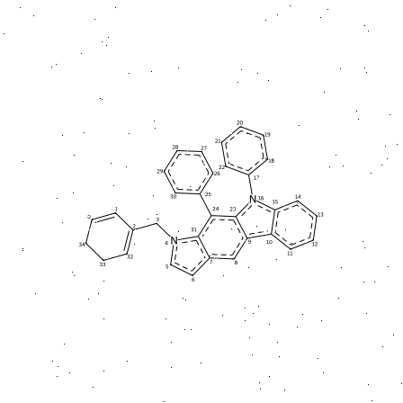 C1=CC(Cn2ccc3cc4c5ccccc5n(-c5ccccc5)c4c(-c4ccccc4)c32)=CCC1